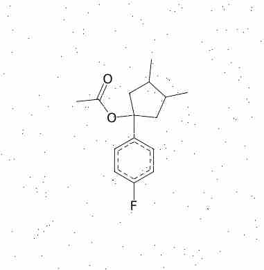 CC(=O)OC1(c2ccc(F)cc2)CC(C)C(C)C1